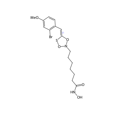 COc1ccc(/C=C2/ON(CCCCCCC(=O)NO)OS2)c(Br)c1